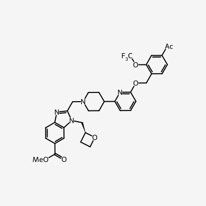 COC(=O)c1ccc2nc(CN3CCC(c4cccc(OCc5ccc(C(C)=O)cc5OC(F)(F)F)n4)CC3)n(C[C@@H]3CCO3)c2c1